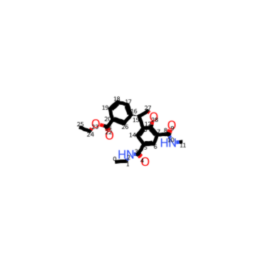 CCNC(=O)c1cc(C(=O)NC)c2c(c1)[C@H](c1cccc(C(=O)OCC)c1)CO2